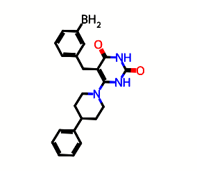 Bc1cccc(Cc2c(N3CCC(c4ccccc4)CC3)[nH]c(=O)[nH]c2=O)c1